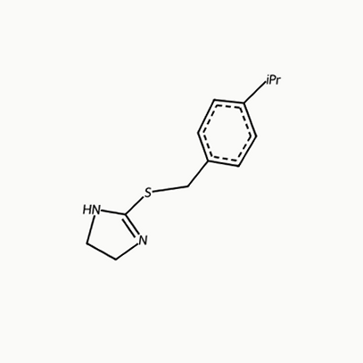 CC(C)c1ccc(CSC2=NCCN2)cc1